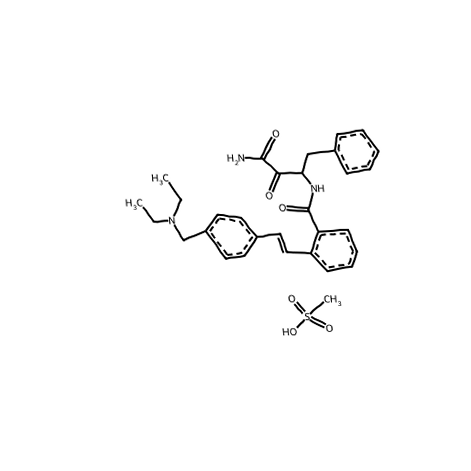 CCN(CC)Cc1ccc(/C=C/c2ccccc2C(=O)NC(Cc2ccccc2)C(=O)C(N)=O)cc1.CS(=O)(=O)O